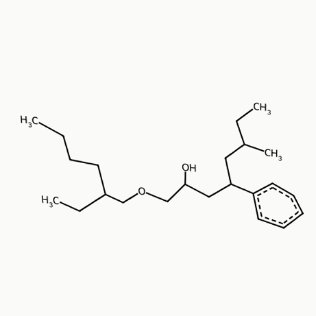 CCCCC(CC)COCC(O)CC(CC(C)CC)c1ccccc1